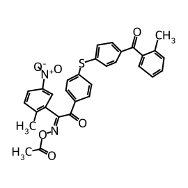 CC(=O)O/N=C(/C(=O)c1ccc(Sc2ccc(C(=O)c3ccccc3C)cc2)cc1)c1cc([N+](=O)[O-])ccc1C